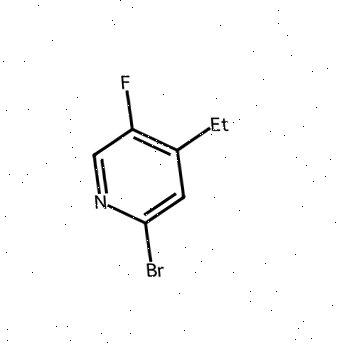 CCc1cc(Br)ncc1F